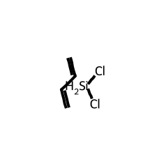 C=CC=C.Cl[SiH2]Cl